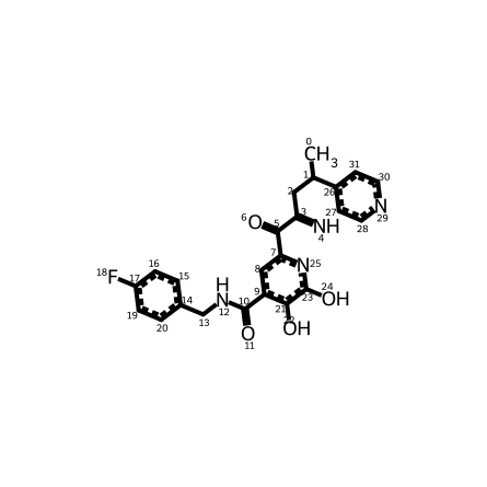 CC(CC(=N)C(=O)c1cc(C(=O)NCc2ccc(F)cc2)c(O)c(O)n1)c1ccncc1